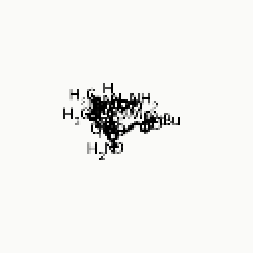 CCn1nc(C)cc1C(=O)Nc1nc2cc(C(N)=O)cc(OC)c2n1C/C=C/Cn1c(NC(=O)c2cc(C)nn2CC)nc2cc(C(N)=O)cc(OCC#CCC3CCCN(C(=O)OC(C)(C)C)C3)c21